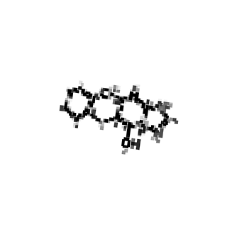 Oc1c(Cc2ccccc2)c(Cl)nc2ncnn12